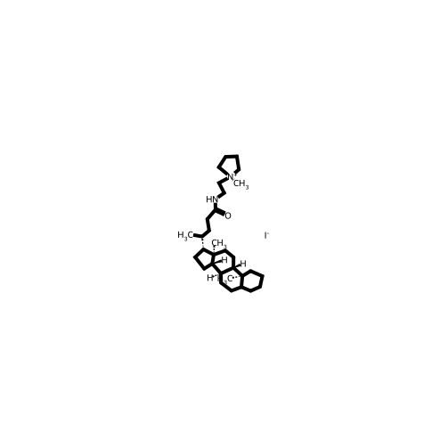 CC(CCC(=O)NCC[N+]1(C)CCCC1)[C@H]1CC[C@H]2[C@@H]3CCC4CCCC[C@]4(C)[C@H]3CC[C@]12C.[I-]